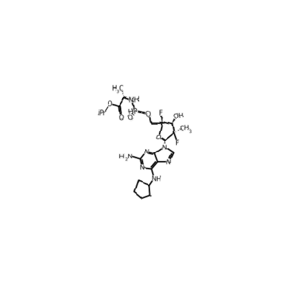 CC(C)OC(=O)[C@H](C)N[PH](=O)OC[C@@]1(F)O[C@@H](n2cnc3c(NC4CCCC4)nc(N)nc32)[C@](C)(F)[C@@H]1O